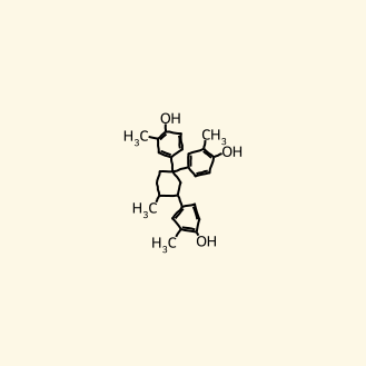 Cc1cc(C2CC(c3ccc(O)c(C)c3)(c3ccc(O)c(C)c3)CCC2C)ccc1O